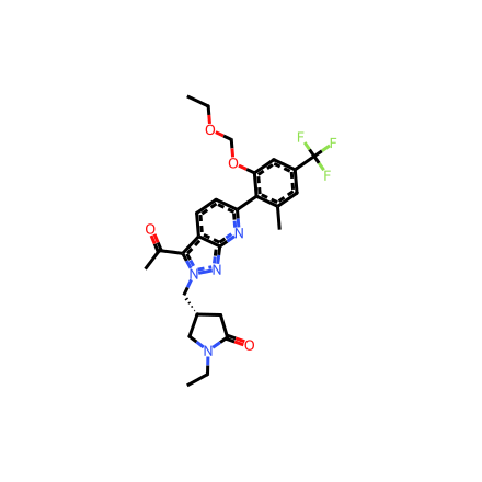 CCOCOc1cc(C(F)(F)F)cc(C)c1-c1ccc2c(C(C)=O)n(C[C@@H]3CC(=O)N(CC)C3)nc2n1